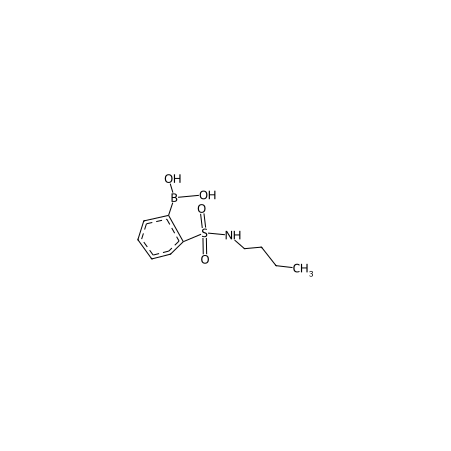 CCCCNS(=O)(=O)c1ccccc1B(O)O